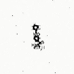 CC(NC(=O)O)C(=O)c1ccc2nc(-c3ccccc3)oc2c1